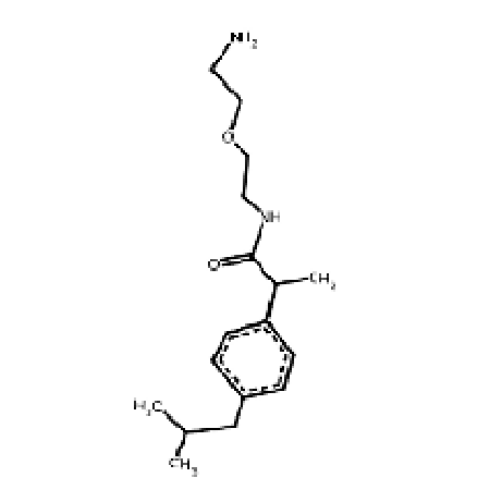 CC(C)Cc1ccc(C(C)C(=O)NCCOCCN)cc1